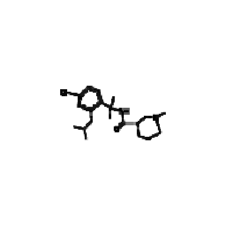 CC(C)Cc1cc(Cl)ccc1C(C)(C)NC(=O)[C@H]1CCCN(C)C1